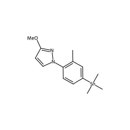 COc1ccn(-c2cc[c]([Sn]([CH3])([CH3])[CH3])cc2C)n1